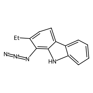 CCc1ccc2c([nH]c3ccccc32)c1N=[N+]=[N-]